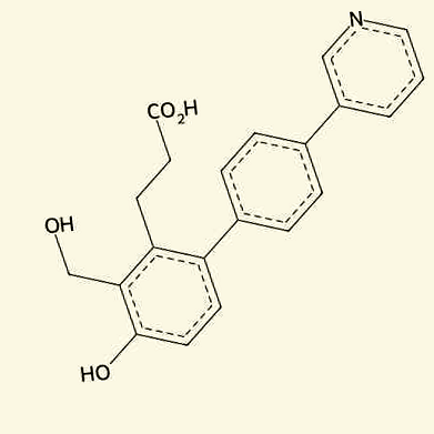 O=C(O)CCc1c(-c2ccc(-c3cccnc3)cc2)ccc(O)c1CO